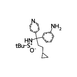 CC(C)(C)[S+]([O-])NC(CCC1CC1)(c1ccncc1)c1cccc(N)c1